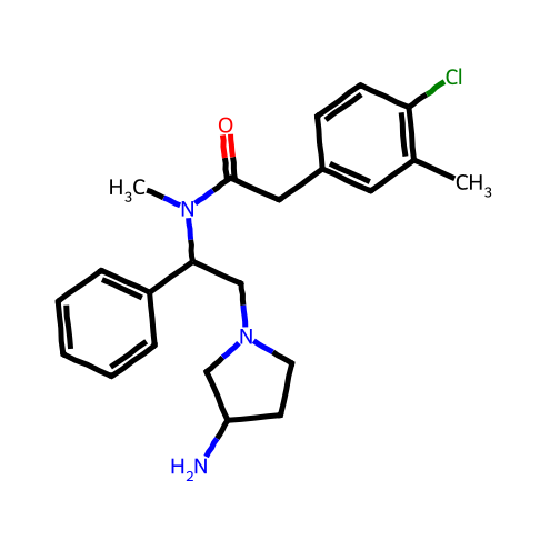 Cc1cc(CC(=O)N(C)C(CN2CCC(N)C2)c2ccccc2)ccc1Cl